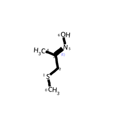 CSC/C(C)=N/O